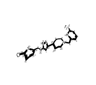 FC(F)(F)c1cccc(CN2CCC(c3cc(NCc4ccc(Cl)s4)[nH]n3)CC2)n1